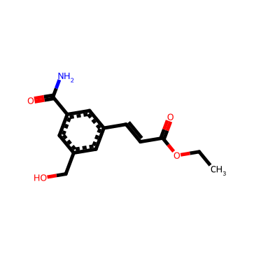 CCOC(=O)C=Cc1cc(CO)cc(C(N)=O)c1